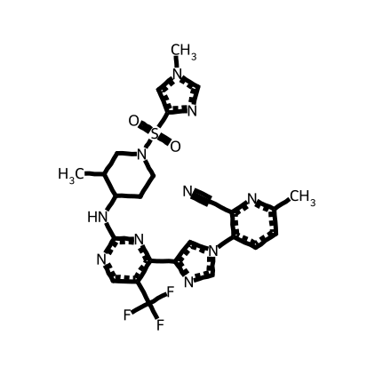 Cc1ccc(-n2cnc(-c3nc(NC4CCN(S(=O)(=O)c5cn(C)cn5)CC4C)ncc3C(F)(F)F)c2)c(C#N)n1